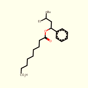 CCCCC(CC)CC(OC(=O)CCCCCCCC(=O)O)c1ccccc1